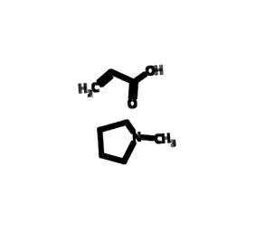 C=CC(=O)O.CN1CCCC1